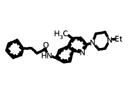 CCN1CCN(c2cc(C)c3cc(NC(=O)CCc4ccccc4)ccc3n2)CC1